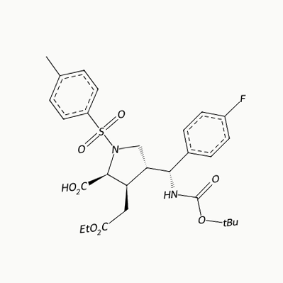 CCOC(=O)C[C@@H]1[C@@H]([C@@H](NC(=O)OC(C)(C)C)c2ccc(F)cc2)CN(S(=O)(=O)c2ccc(C)cc2)[C@@H]1C(=O)O